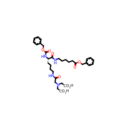 O=C(O)CN(CC(=O)O)CC(=O)NCCCC[C@H](NC(=O)OCc1ccccc1)C(=O)NCCCCCC(=O)OCc1ccccc1